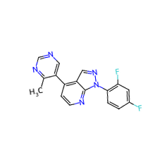 Cc1ncncc1-c1ccnc2c1cnn2-c1ccc(F)cc1F